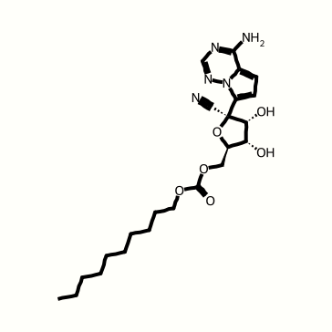 CCCCCCCCCCOC(=O)OC[C@H]1O[C@@](C#N)(c2ccc3c(N)ncnn23)[C@H](O)[C@@H]1O